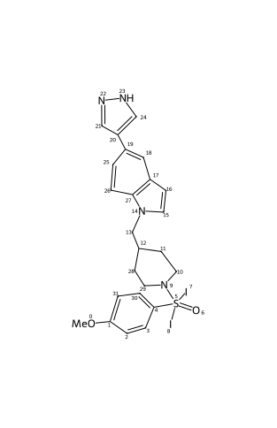 COc1ccc(S(=O)(I)(I)N2CCC(Cn3ccc4cc(-c5cn[nH]c5)ccc43)CC2)cc1